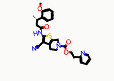 COc1ccccc1[C@@H](C)CC(=O)Nc1sc2c(c1C#N)CCN(C(=O)OCCc1ccccn1)C2